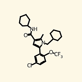 Cc1c(C(=O)NC2CCCCC2)cc(-c2cc(Cl)ccc2OC(F)(F)F)n1CC1CCCCC1